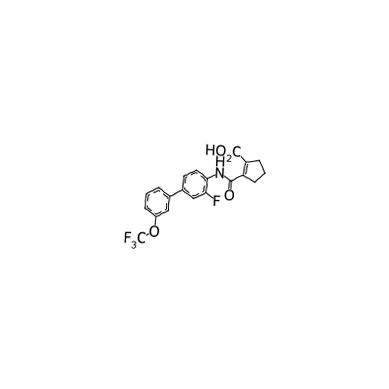 O=C(O)C1=C(C(=O)Nc2ccc(-c3cccc(OC(F)(F)F)c3)cc2F)CCC1